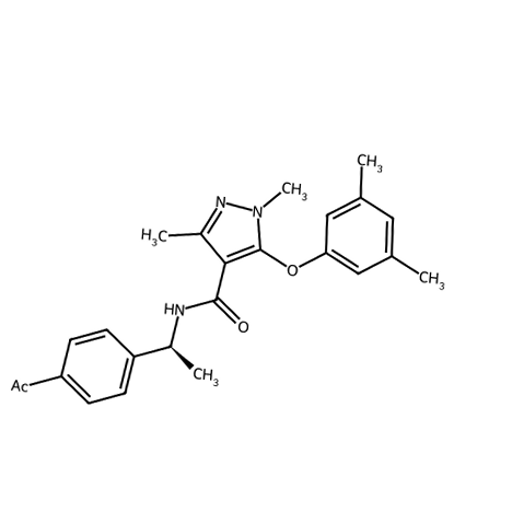 CC(=O)c1ccc([C@H](C)NC(=O)c2c(C)nn(C)c2Oc2cc(C)cc(C)c2)cc1